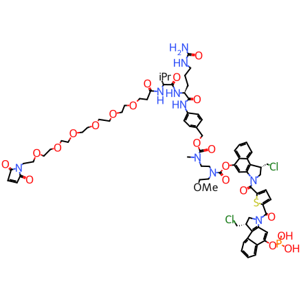 COCCN(CCN(C)C(=O)OCc1ccc(NC(=O)[C@H](CCCNC(N)=O)NC(=O)C(NC(=O)CCOCCOCCOCCOCCOCCOCCN2C(=O)C=CC2=O)C(C)C)cc1)C(=O)Oc1cc2c(c3ccccc13)[C@H](CCl)CN2C(=O)c1ccc(C(=O)N2C[C@@H](CCl)c3c2cc(OP(O)O)c2ccccc32)s1